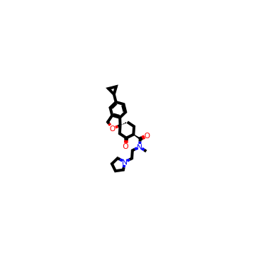 CN(CCN1CCCC1)C(=O)[C@@H]1CC[C@]2(CC1=O)OCc1cc(C3CC3)ccc12